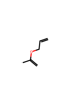 [CH2]C(=C)OCC=C